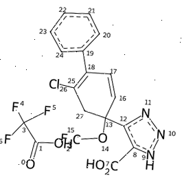 O=C(O)C(F)(F)F.O=C(O)c1[nH]nnc1C1(OC(F)(F)F)C=CC(c2ccccc2)=C(Cl)C1